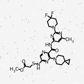 COC(=O)CSNc1cnc(C(=O)Nc2cc(C)nc(N3CCC(F)(F)CC3)n2)c(N2CCC3(CC2)CC3)n1